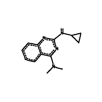 CN(C)c1nc(NC2CC2)nc2ccccc12